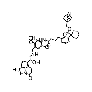 COc1cc(NC(=O)CCCc2cccc(C3(C(=O)OCC45CCN(CC4)CC5)CCCCC3)c2)c(Cl)cc1CNC[C@@H](O)c1ccc(O)c2[nH]c(=O)ccc12